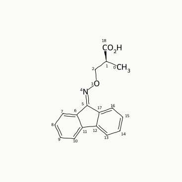 C[C@@H](CON=C1c2ccccc2-c2ccccc21)C(=O)O